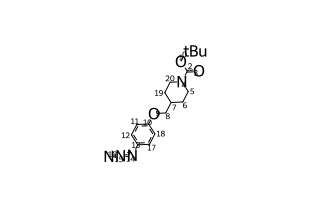 CC(C)(C)OC(=O)N1CCC(COc2ccc(N=[N+]=[N-])cc2)CC1